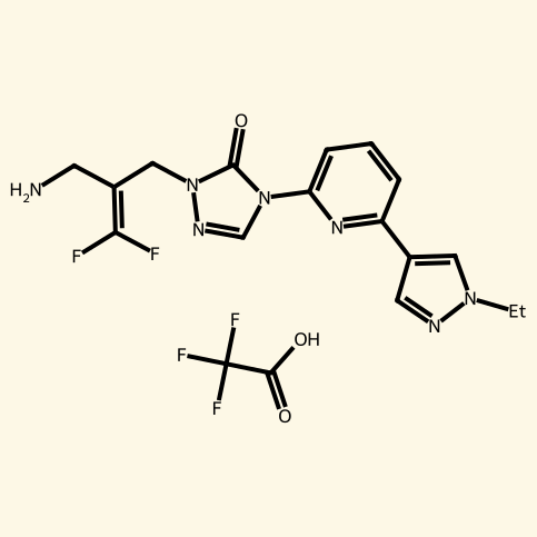 CCn1cc(-c2cccc(-n3cnn(CC(CN)=C(F)F)c3=O)n2)cn1.O=C(O)C(F)(F)F